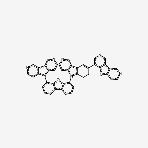 C1=C(c2cncc3c2oc2ccncc23)CCc2c1c1cnccc1n2-c1cccc2c1oc1c(-n3c4ccncc4c4cnccc43)cccc12